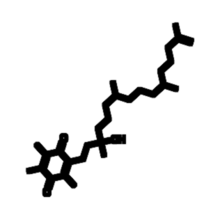 C=C(C)CCCC(C)CCCC(C)CCCC(C)(O)CCC1=C(C)C(=O)C(C)=C(C)C1=O